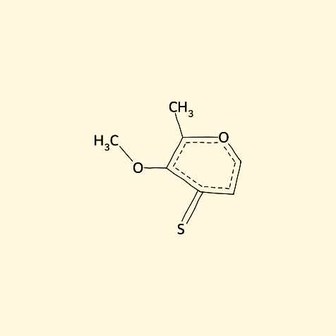 COc1c(C)occc1=S